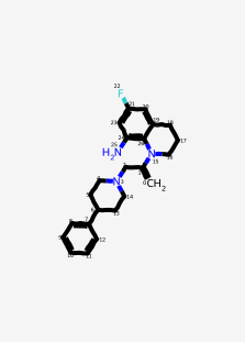 C=C(CN1CCC(c2ccccc2)CC1)N1CCCc2cc(F)cc(N)c21